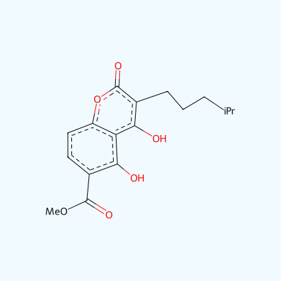 COC(=O)c1ccc2oc(=O)c(CCCC(C)C)c(O)c2c1O